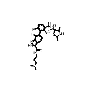 CC1NC(C)C(S(=O)(=O)Nc2ccc(F)c(-c3ccc4c(C(=O)NCCCN(C)C)[nH]nc4c3F)c2F)S1